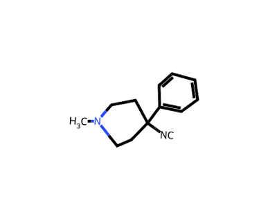 [C-]#[N+]C1(c2ccccc2)CCN(C)CC1